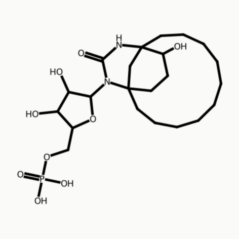 O=C1NC23CCCCCCCCCCC(CCC2O)(C3)N1C1OC(COP(=O)(O)O)C(O)C1O